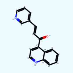 O=C(C=Cc1cccnc1)c1ccnc2ccccc12